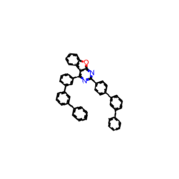 c1ccc(-c2cccc(-c3ccc(-c4nc(-c5cccc(-c6cccc(-c7ccccc7)c6)c5)c5c(n4)oc4ccccc45)cc3)c2)cc1